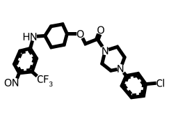 O=Nc1ccc(NC2CCC(OCC(=O)N3CCN(c4cccc(Cl)c4)CC3)CC2)cc1C(F)(F)F